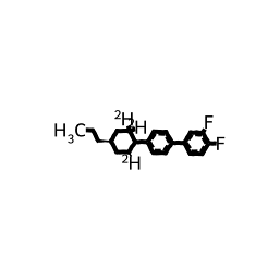 [2H][C@@H]1C[C@@H](CCC)CC([2H])([2H])C1c1ccc(-c2ccc(F)c(F)c2)cc1